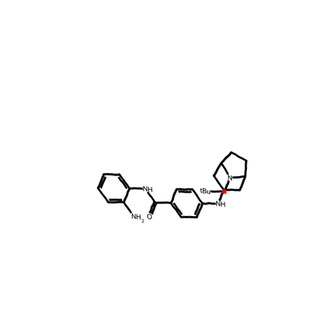 CC(C)(C)CN1C2CCC1CC(Nc1ccc(C(=O)Nc3ccccc3N)cc1)C2